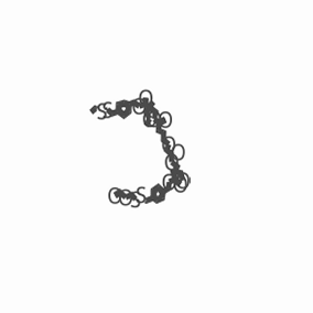 CCSSCc1ccc(COC(=O)C(C)(COC)COC(=O)CCCOCC(=O)OCC(C)(COC)C(=O)OCc2ccc(CSSCOC=O)cc2)cc1